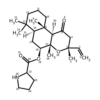 C=C[C@@]1(C)CC(=O)[C@@H]2[C@@]3(C)CCCC(C)(C)[C@@H]3C[C@H](OC(=O)C3CCCN3)[C@@]2(C)O1